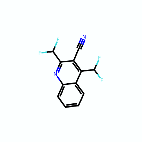 N#Cc1c(C(F)F)nc2ccccc2c1C(F)F